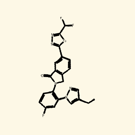 CCc1cnn(-c2cc(F)ccc2N2Cc3ccc(-c4nnc(C(F)F)o4)cc3C2=O)c1